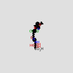 O=C(O)C[C@H](O)[C@@H](O)[C@H](O)CNC1CCN(C(=O)CCCCc2cc(Cl)c(COC3(c4cnccc4-c4ccccc4OC4CC4)CC3)cc2Cl)CC1